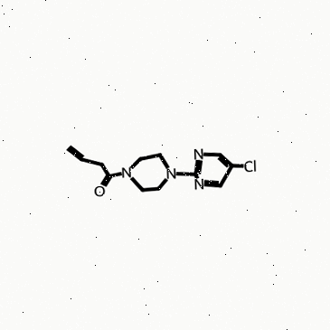 C=CCC(=O)N1CCN(c2ncc(Cl)cn2)CC1